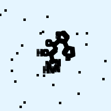 O=C(C=C(O)c1nn[nH]n1)c1sccc1-c1ccsc1